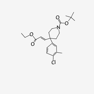 CCOC(=O)/C=C/C1(c2ccc(Cl)c(C)c2)CCN(C(=O)OC(C)(C)C)CC1